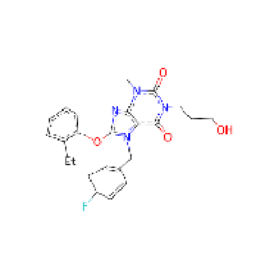 CCc1ccccc1Oc1nc2c(c(=O)n(CCCO)c(=O)n2C)n1CC1=CCC(F)C=C1